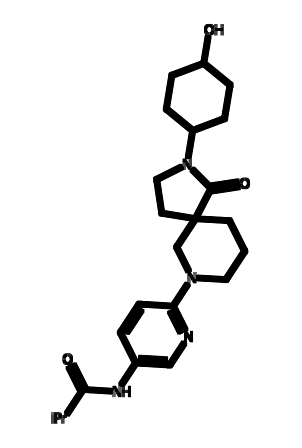 CC(C)C(=O)Nc1ccc(N2CCCC3(CCN(C4CCC(O)CC4)C3=O)C2)nc1